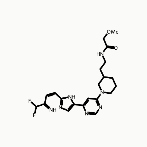 COCC(=O)NCCC1CCCN(c2cc(-c3cnc(/C=C\C(=N)C(F)F)[nH]3)ncn2)C1